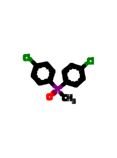 CP(=O)(c1ccc(Cl)cc1)c1ccc(Cl)cc1